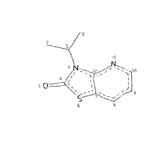 CC(C)n1c(=O)sc2cccnc21